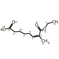 CCOC(=O)/C(C)=C\CCCCC(=O)O